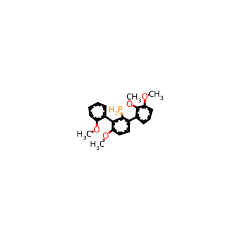 COc1ccccc1-c1c(OC)ccc(-c2cccc(OC)c2OC)c1P